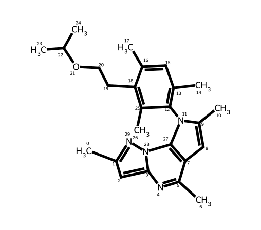 Cc1cc2nc(C)c3cc(C)n(-c4c(C)cc(C)c(CCOC(C)C)c4C)c3n2n1